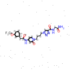 NC(=O)CNC(=O)c1cn(CCCCn2ccc(NC(=O)Cc3cccc(OC(F)(F)F)c3)cc2=O)nn1